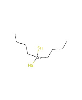 CCC[CH2][Zn]([SH])([SH])[CH2]CCC